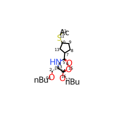 CCCCOC[C@H](NC(=O)C1CCC(SC(C)=O)C1)C(=O)OCCCC